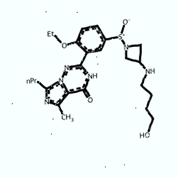 CCCc1nc(C)c2c(=O)[nH]c(-c3cc([S+]([O-])N4CC(NCCCCO)C4)ccc3OCC)nn12